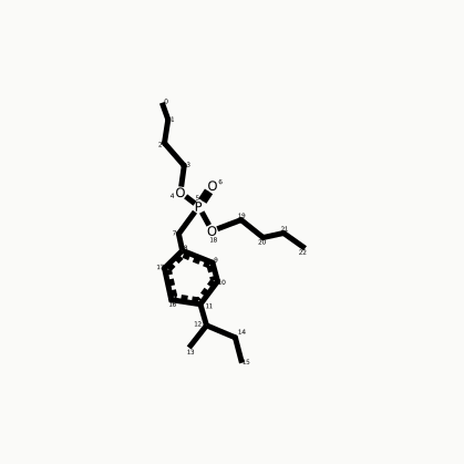 CCCCOP(=O)(Cc1ccc(C(C)CC)cc1)OCCCC